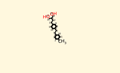 Cc1ccc(CCc2ccc(CCC(CO)CO)cc2)cc1